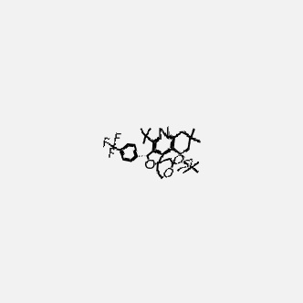 CC1(C)Cc2nc(C(C)(C)C)c3c(c2[C@@H](O[Si](C)(C)C(C)(C)C)C1)C1(CCOCC1)O[C@@H]3c1ccc(C(F)(F)F)cc1